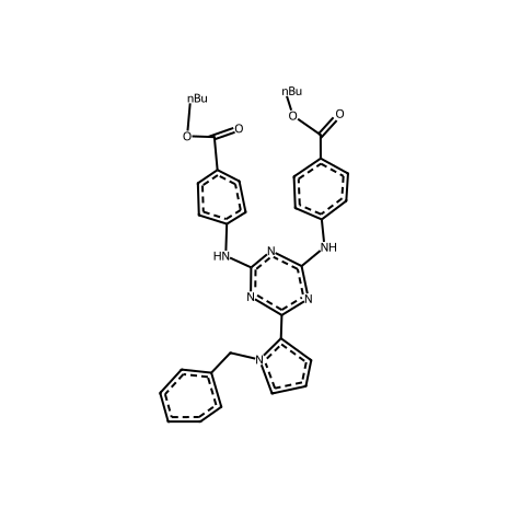 CCCCOC(=O)c1ccc(Nc2nc(Nc3ccc(C(=O)OCCCC)cc3)nc(-c3cccn3Cc3ccccc3)n2)cc1